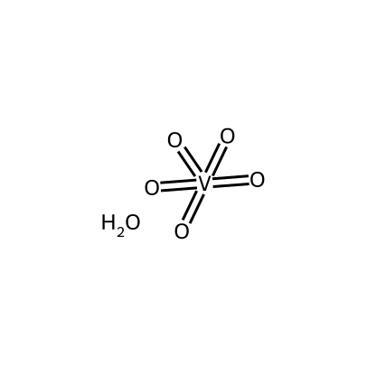 O.[O]=[V](=[O])(=[O])(=[O])=[O]